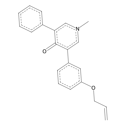 C=CCOc1cccc(-c2cn(C)cc(-c3ccccc3)c2=O)c1